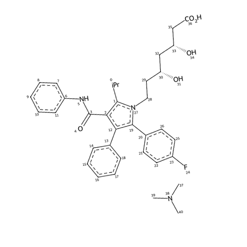 CC(C)c1c(C(=O)Nc2ccccc2)c(-c2ccccc2)c(-c2ccc(F)cc2)n1CC[C@@H](O)C[C@@H](O)CC(=O)O.CN(C)C